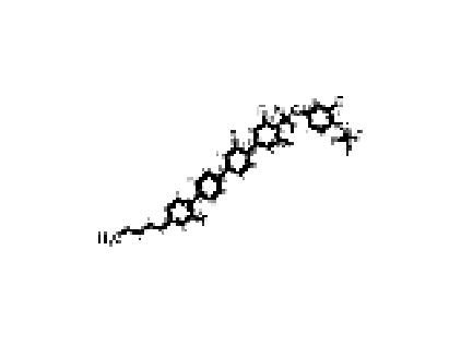 CCCCCc1ccc(-c2ccc(-c3ccc(-c4cc(F)c(C(F)(F)Oc5ccc(OC(F)(F)F)c(F)c5)c(F)c4)c(F)c3)cc2)c(F)c1